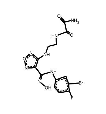 NC(=O)C(=O)NCCNc1nonc1/C(=N/O)Nc1ccc(F)c(Br)c1